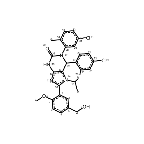 COc1ccc(CO)cc1-c1nc2c(n1C(C)C)C(c1ccc(Cl)cc1C)N(c1cc(Cl)ccc1C)C(=O)N2